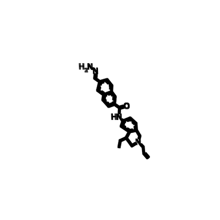 C=CCN1Cc2ccc(NC(=O)c3ccc4cc(C=NN)ccc4c3)cc2C(CC)C1